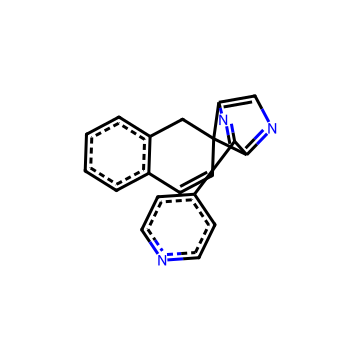 C1=CC2(Cc3ccccc31)C1=CN=C2C(c2ccncc2)=N1